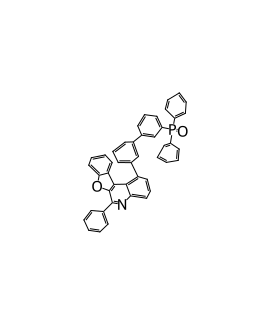 O=P(c1ccccc1)(c1ccccc1)c1cccc(-c2cccc(-c3cccc4nc(-c5ccccc5)c5oc6ccccc6c5c34)c2)c1